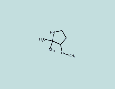 COC1CCNC1(C)C